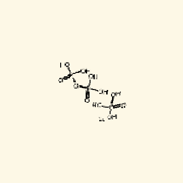 O=P(O)(O)O.O=P(O)(O)OP(=O)(O)O.[Cu]